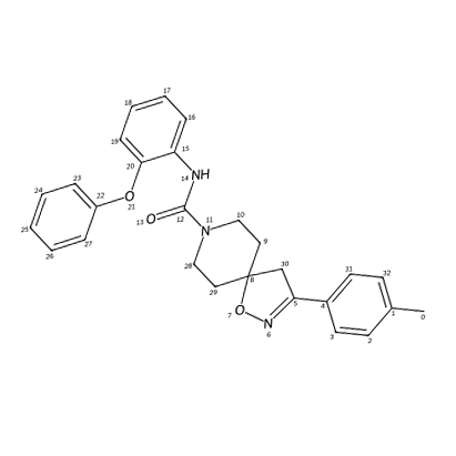 Cc1ccc(C2=NOC3(CCN(C(=O)Nc4ccccc4Oc4ccccc4)CC3)C2)cc1